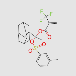 C=C(C(=O)OC(C)(OS(=O)(=O)c1cccc(C)c1)C12CC3CC(CC(C3)C1)C2)C(F)(F)F